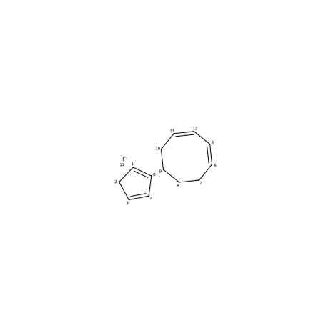 C1=CCC=C1.C1=C\CCCC\C=C/1.[Ir]